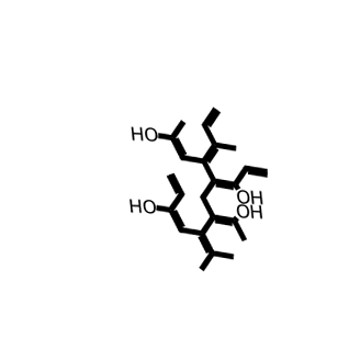 C=C/C(O)=C\C(=C(C)C)/C(CC(=C(\O)C=C)/C(/C=C(\C)O)=C(\C)C=C)=C(\C)O